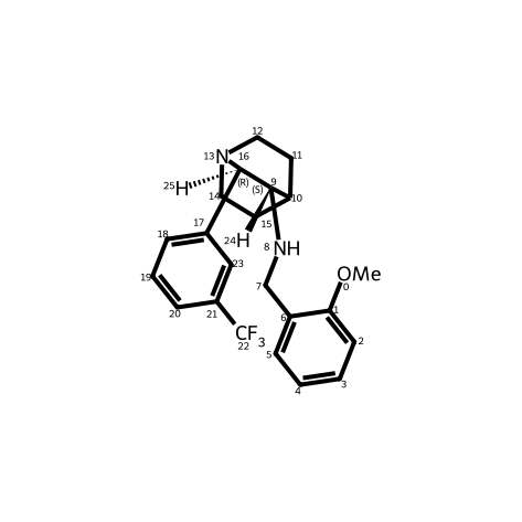 COc1ccccc1CN[C@H]1C2CCN(CC2)[C@@H]1c1cccc(C(F)(F)F)c1